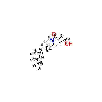 CC1(O)CC(C(=O)N2CCC3(CC2)CC(c2cccc(C(C)(C)C)c2)C3)C1